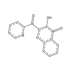 O=C(c1ccccn1)c1oc2ccccc2c(=O)c1O